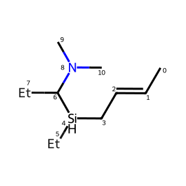 C/C=C/C[SiH](CC)C(CC)N(C)C